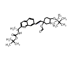 C[C@@H](NC(=O)OC(C)(C)C)c1ccc2ccc(/C=C/C3(OC=O)CCC(O[Si](C)(C)C(C)(C)C)CC3)cc2n1